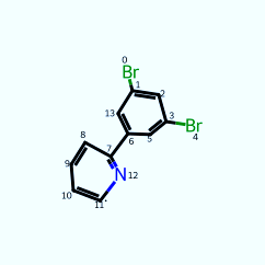 Brc1cc(Br)cc(-c2ccc[c]n2)c1